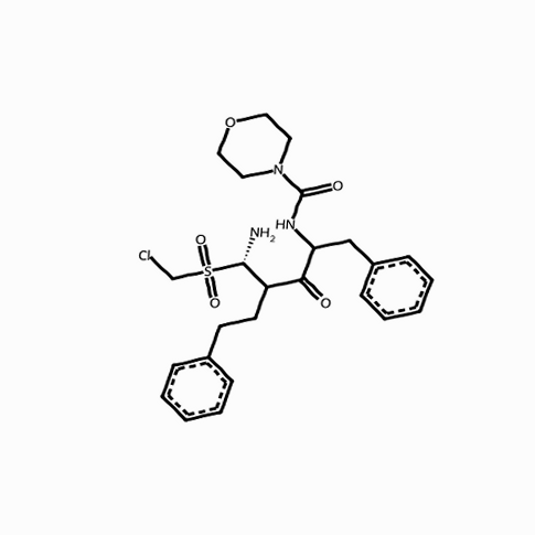 N[C@H](C(CCc1ccccc1)C(=O)C(Cc1ccccc1)NC(=O)N1CCOCC1)S(=O)(=O)CCl